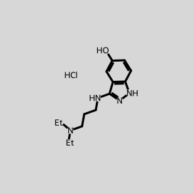 CCN(CC)CCCNc1n[nH]c2ccc(O)cc12.Cl